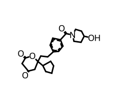 O=C1CC(=O)OC(CCc2ccc(C(=O)N3CCC(O)CC3)cc2)(C2CCCC2)C1